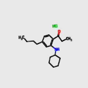 CCCCc1ccc(C(=O)CC)c(NC2CCCCC2)c1.Cl